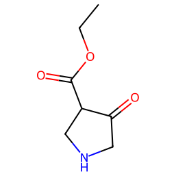 CCOC(=O)C1CNCC1=O